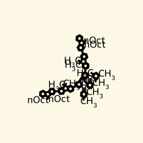 CCCCCCCCC1(CCCCCCCC)c2ccccc2-c2ccc(-c3ccc4c(c3)C(C)(C)c3cc(-c5cc6c7c(c5)c5cc(-c8ccc9c(c8)C(C)(C)c8cc(-c%10ccc%11c(c%10)C(CCCCCCCC)(CCCCCCCC)c%10ccccc%10-%11)ccc8-9)cc8c5n7-c5c(cccc5B8c5c(C)cc(C)cc5C)B6c5ccc(C)cc5C)ccc3-4)cc21